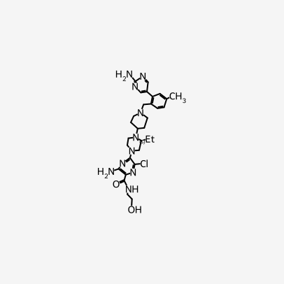 CC[C@H]1CN(c2nc(N)c(C(=O)NCCO)nc2Cl)CCN1C1CCN(Cc2ccc(C)cc2-c2cnc(N)nc2)CC1